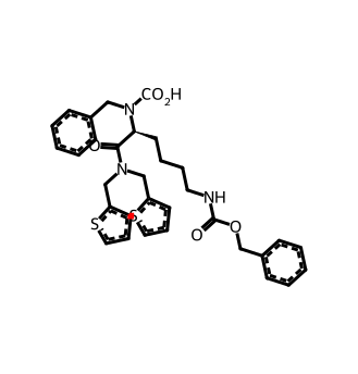 O=C(NCCCC[C@@H](C(=O)N(Cc1cccs1)Cc1cccs1)N(Cc1ccccc1)C(=O)O)OCc1ccccc1